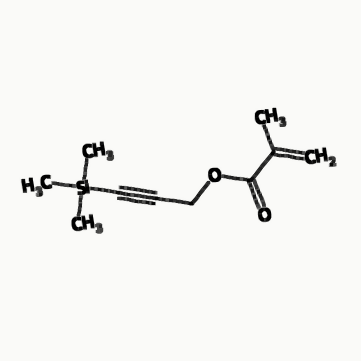 C=C(C)C(=O)OCC#C[Si](C)(C)C